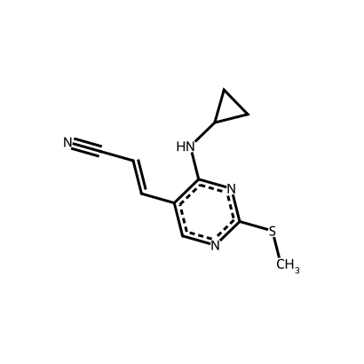 CSc1ncc(C=CC#N)c(NC2CC2)n1